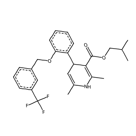 CC1=CC(c2ccccc2OCc2cccc(C(F)(F)F)c2)C(C(=O)OCC(C)C)=C(C)N1